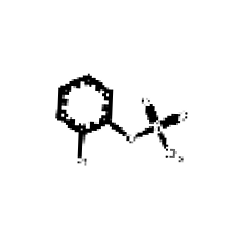 CCc1ccccc1OS(=O)(=O)C(F)(F)F